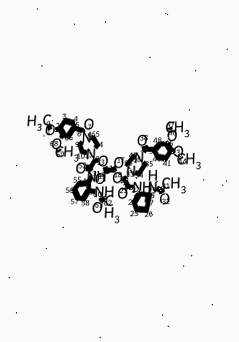 COc1ccc(C(=O)N2CCN(C(OC(=O)C(=O)OC(C(=O)Nc3ccccc3NC(C)=O)N3CCN(C(=O)c4ccc(OC)c(OC)c4)CC3)C(=O)Nc3ccccc3NC(C)=O)CC2)cc1OC